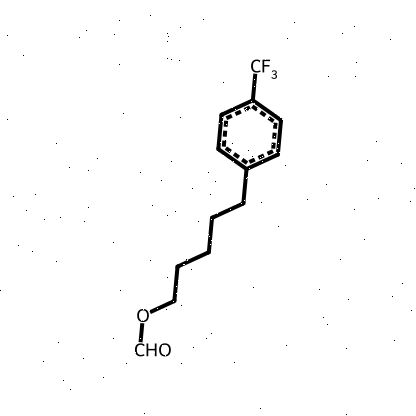 O=COCCCCCc1ccc(C(F)(F)F)cc1